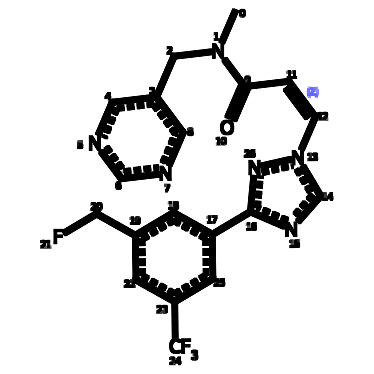 CN(Cc1cncnc1)C(=O)/C=C\n1cnc(-c2cc(CF)cc(C(F)(F)F)c2)n1